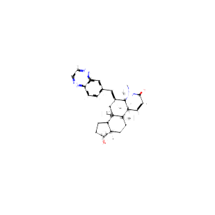 CN1C(=O)C=C[C@]2(C)[C@H]3CC[C@]4(C)[C@@H](O)CC[C@H]4[C@@H]3CC(=Cc3ccc4nccnc4c3)[C@@H]12